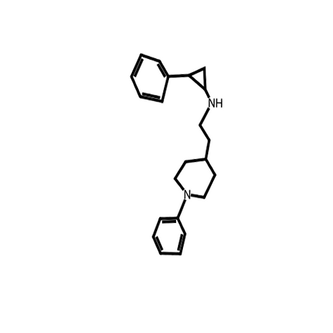 c1ccc(C2CC2NCCC2CCN(c3ccccc3)CC2)cc1